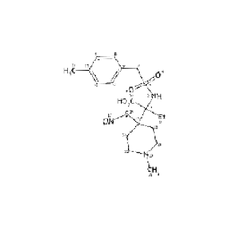 CCC(NS(=O)(=O)Cc1ccc(C)cc1)(C(=O)O)C1(SN=O)CCN(C)CC1